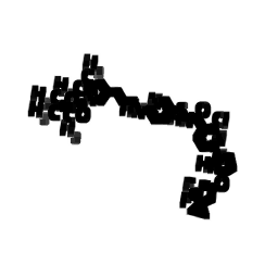 CC(C)(C)OC(=O)N1CC(CCCNc2ccc(SNC(=O)c3ccc(N4C=CC(OCCC5(C(F)(F)F)CC5)N4)nc3Cl)cn2)CC1(C)C